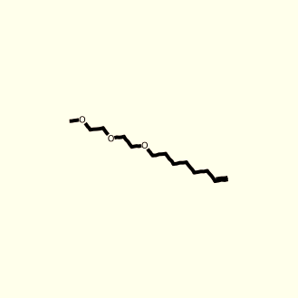 C=CCCCCCCOCCOCCOC